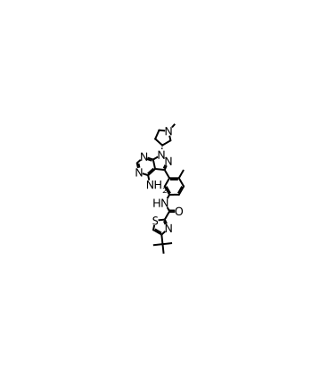 Cc1ccc(NC(=O)c2nc(C(C)(C)C)cs2)cc1-c1nn([C@@H]2CCN(C)C2)c2ncnc(N)c12